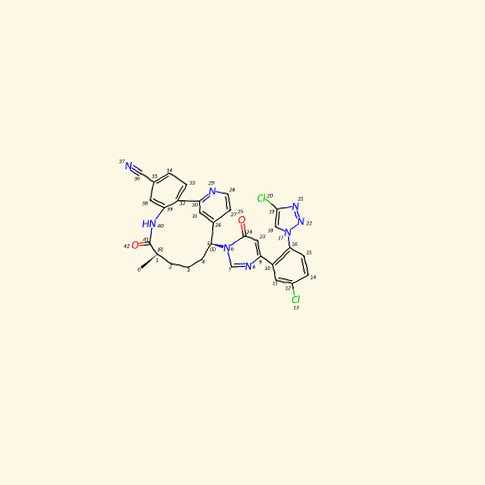 C[C@@H]1CCC[C@H](n2cnc(-c3cc(Cl)ccc3-n3cc(Cl)nn3)cc2=O)c2ccnc(c2)-c2ccc(C#N)cc2NC1=O